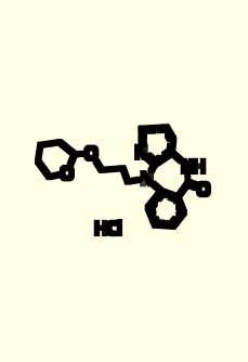 Cl.O=C1Nc2cccnc2N(CCCOC2CCCCO2)c2ccccc21